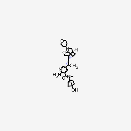 C=C/C(=C\C=C(/C)c1cnc(N)c(C(=O)NC23CCC(O)(CC2)CC3)c1)[C@@]12CC[C@@H]1CN(C1CCOCC1)C2